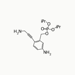 CC(C)OP(=O)(OCc1cc(N)ccc1C#CCN)OC(C)C